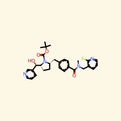 CN(Cc1cccnc1F)C(=O)c1ccc(C[C@@H]2CC[C@H]([C@H](O)c3cccnc3)N2C(=O)OC(C)(C)C)cc1